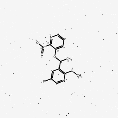 COc1ncc(F)cc1C(C)Oc1cccnc1[N+](=O)[O-]